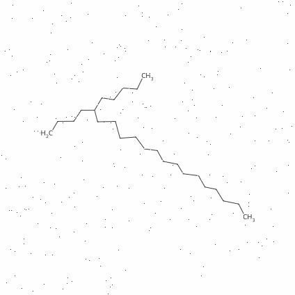 [CH2]CCCC(CCCCC)CCCCCCCCCCCCCCC